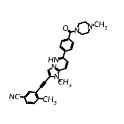 Cc1ccc(C#N)cc1C#Cc1cnc(/C=C\C(=N)c2ccc(C(=O)N3CCN(C)CC3)cc2)n1C